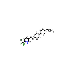 CC[C@H]1CC[C@H]([C@H]2CC[C@H](CCc3ccc(C(F)(F)F)nc3)CC2)CC1